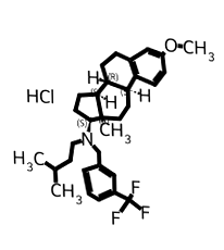 COc1ccc2c(c1)CC[C@@H]1[C@@H]2CC[C@]2(C)[C@@H](N(CCC(C)C)Cc3cccc(C(F)(F)F)c3)CC[C@@H]12.Cl